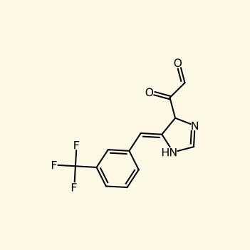 O=CC(=O)C1N=CNC1=Cc1cccc(C(F)(F)F)c1